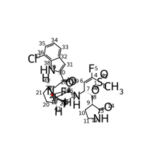 CS(=O)(=O)/C(F)=C\[C@H](C[C@@H]1CCNC1=O)NC(=O)[C@@H]1[C@H]2CC[C@H](CC2(F)F)N1C(=O)c1cc2cccc(Cl)c2[nH]1